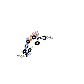 CCn1c(C)c(C(=O)O)c(C2=CC(N3CCN(c4ccc(NS(=O)(=O)c5ccc(N[C@H](CCN6CCC(OC)CC6)CSc6ccccc6)c(S(=O)(=O)C(F)(F)F)c5)cc4)CC3)=CC(F)C2C)c1-c1ccc(Cl)cc1